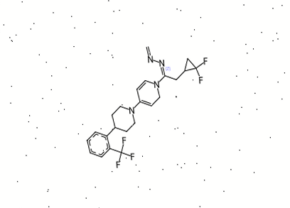 C=N/N=C(/CC1CC1(F)F)N1C=CC(N2CCC(c3ccccc3C(F)(F)F)CC2)=CC1